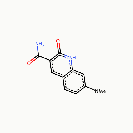 CNc1ccc2cc(C(N)=O)c(=O)[nH]c2c1